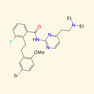 CCN(CC)CCc1ccnc(NC(=O)c2cccc(F)c2CCc2cc(Br)ccc2OC)n1